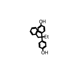 CCC(Cc1ccccc1)(c1ccc(O)cc1)c1ccc(O)cc1